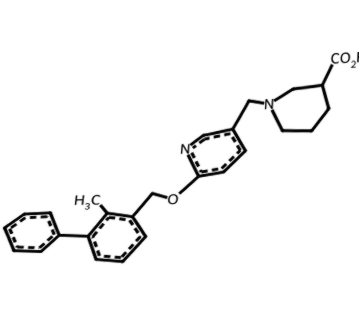 Cc1c(COc2ccc(CN3CCCC(C(=O)O)C3)cn2)cccc1-c1ccccc1